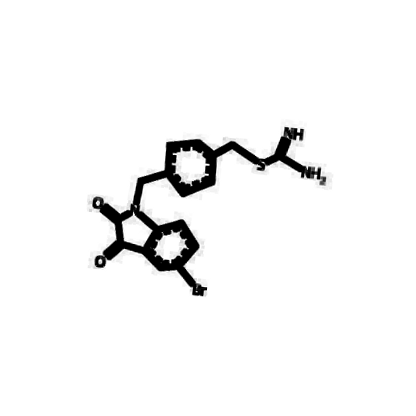 N=C(N)SCc1ccc(CN2C(=O)C(=O)c3cc(Br)ccc32)cc1